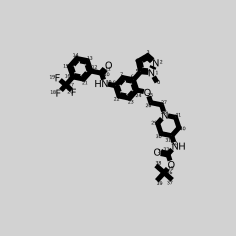 Cn1nccc1-c1cc(NC(=O)c2cccc(C(F)(F)F)c2)ccc1OCCN1CCC(NC(=O)OC(C)(C)C)CC1